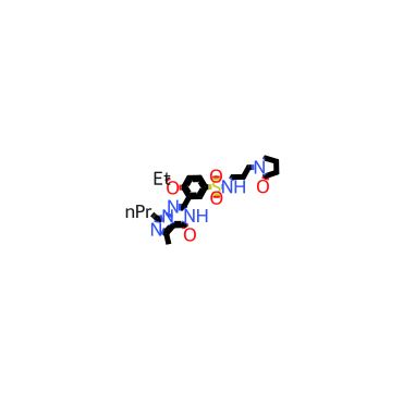 CCCc1nc(C)c2c(=O)[nH]c(-c3cc(S(=O)(=O)NCCCN4CCCC4=O)ccc3OCC)nn12